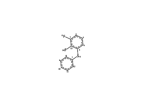 Fc1cccc(Sc2ccccc2)c1F